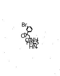 CNC(=S)NNC(=O)CC1(c2cccc(Br)c2)COC1